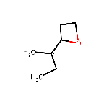 CC[C](C)C1CCO1